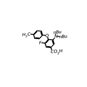 CCCCN(CCCC)c1cc(C(=O)O)cc(F)c1Oc1ccc(C)cc1